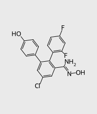 N/C(=N\O)c1cc(Cl)cc(-c2ccc(O)cc2)c1-c1ccc(F)cc1F